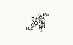 CC1Cc2c(-c3cn(C4CC4)c4ncnc(OC(=O)NC(=O)OC(C)(C)C)c34)ccc(N)c2O1